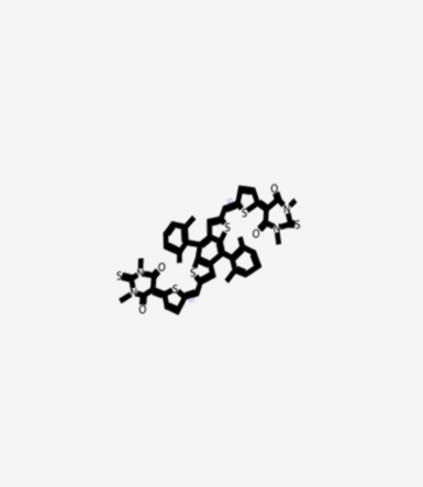 Cc1cccc(C)c1-c1c2cc(/C=c3/ccc(=C4C(=O)N(C)C(=S)N(C)C4=O)s3)sc2c(-c2c(C)cccc2C)c2cc(/C=c3/ccc(=C4C(=O)N(C)C(=S)N(C)C4=O)s3)sc12